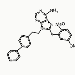 COc1ccc(OC)c(Sc2nc3c(N)ncnc3n2CCc2ccc(-c3ccccc3)cc2)c1